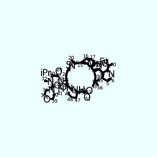 CCn1c(-c2cccnc2[C@H](C)OC)c2c3cc(ccc31)-c1csc(n1)C[C@H](NC(=O)[C@H](C(C)C)N(C)C(=O)N1CCOC[C@H]1C)C(=O)N1CCC[C@H](N1)C(=O)OCC(C)(C)C2